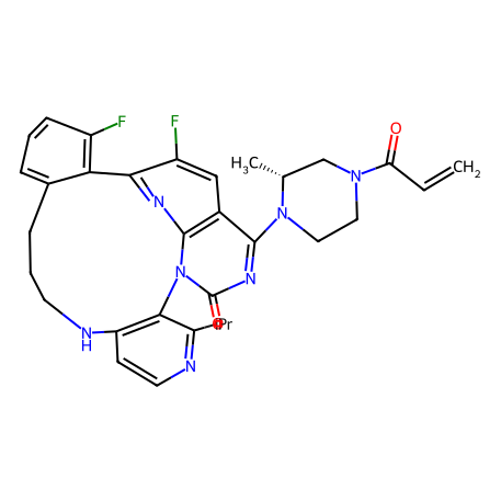 C=CC(=O)N1CCN(c2nc(=O)n3c4nc(c(F)cc24)-c2c(F)cccc2CCCNc2ccnc(C(C)C)c2-3)[C@H](C)C1